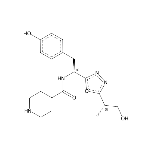 C[C@@H](CO)c1nnc([C@H](Cc2ccc(O)cc2)NC(=O)C2CCNCC2)o1